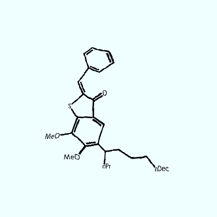 CCCCCCCCCCCCCC(CCC)c1cc2c(c(OC)c1OC)SC(=Cc1ccccc1)C2=O